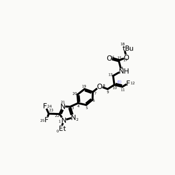 CCn1nc(-c2ccc(OC/C(=C/F)CNC(=O)OC(C)(C)C)cc2)nc1C(F)F